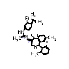 C=C(C)c1ccc(N/C(C)=N/C=C2/CN=C(c3c(C)cccc3F)c3cc(C)ccc3C2=C)cc1CC